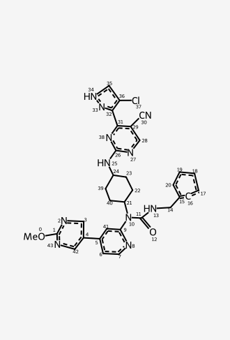 COc1ncc(-c2ccnc(N(C(=O)NCc3ccccc3)C3CCC(Nc4ncc(C#N)c(-c5n[nH]cc5Cl)n4)CC3)c2)cn1